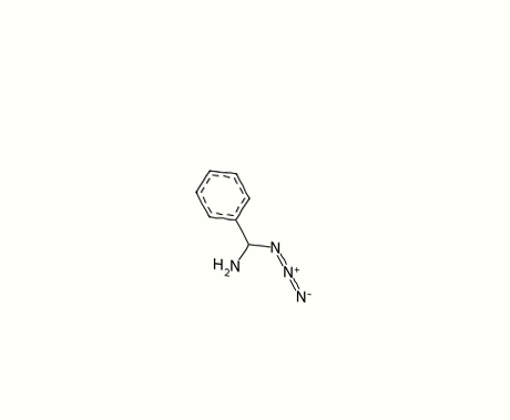 [N-]=[N+]=NC(N)c1ccccc1